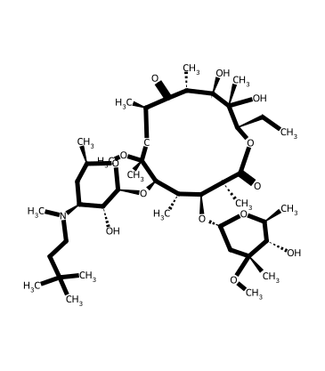 CC[C@H]1OC(=O)[C@H](C)[C@@H](O[C@H]2C[C@@](C)(OC)[C@@H](O)[C@H](C)O2)[C@H](C)[C@@H](O[C@@H]2O[C@H](C)C[C@H](N(C)CCC(C)(C)C)[C@H]2O)[C@](C)(OC)C[C@@H](C)C(=O)[C@H](C)[C@@H](O)[C@]1(C)O